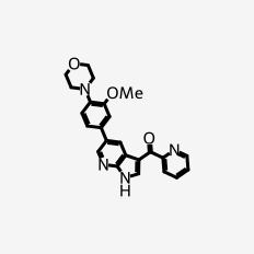 COc1cc(-c2cnc3[nH]cc(C(=O)c4ccccn4)c3c2)ccc1N1CCOCC1